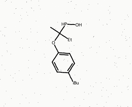 CCC(C)c1ccc(OC(C)(CC)PO)cc1